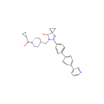 O=C(C1CC1)N1CCC(CN2C(=O)C3(CC3)N=C2c2ccc(-c3ccc(-c4cccnc4)cc3)cc2)CC1